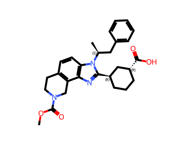 COC(=O)N1CCc2ccc3c(nc([C@@H]4CCC[C@@H](C(=O)O)C4)n3[C@@H](C)Cc3ccccc3)c2C1